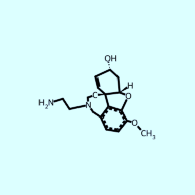 COc1ccc2c3c1O[C@H]1C[C@@H](O)C=C[C@@]31CCN(CCN)C2